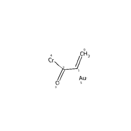 C=C[C](=O)[Cr].[Au]